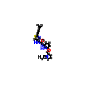 CN1CCCC1COc1cccc(NC(=O)Nc2csc(C#CC3CC3)n2)n1